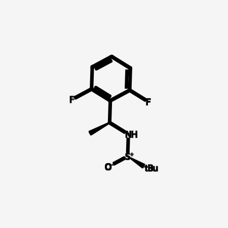 C[C@H](N[S@+]([O-])C(C)(C)C)c1c(F)cccc1F